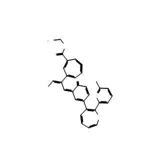 C=c1ccc(C2=C(c3cccc(C)n3)NC=CC=C2)c/c1=C/C(=C\C)C1=CC=C=CC(C(=O)O[C@@H](CC)CCC)=C1